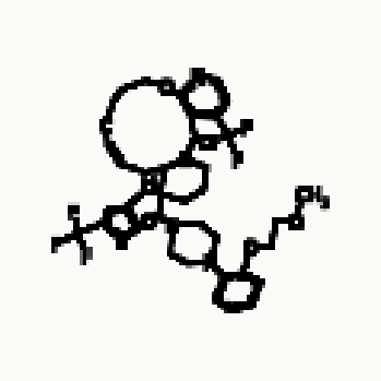 COCCOc1ccccc1N1CCN(C(=O)[C@]2(Oc3csc(C(F)(F)F)c3)CCCN3C(=O)c4c(C(F)(F)F)ccnc4OCCCCC=CC[C@@H]32)CC1